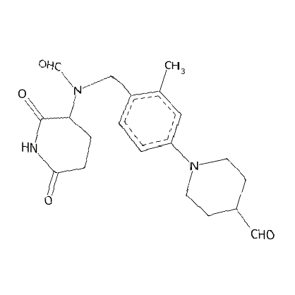 Cc1cc(N2CCC(C=O)CC2)ccc1CN(C=O)C1CCC(=O)NC1=O